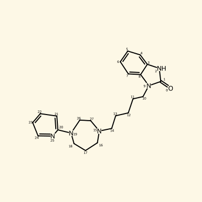 O=c1[nH]c2ccccc2n1CCCCCN1CCCN(c2ccccn2)CC1